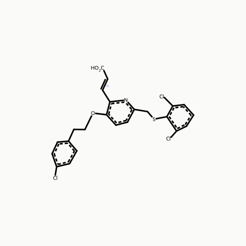 O=C(O)/C=C/c1nc(CSc2c(Cl)cccc2Cl)ccc1OCCc1ccc(Cl)cc1